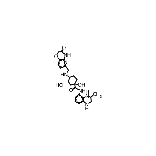 CC1CNc2cccc(NC(=O)C3(O)CCC(NCc4ccc5c(n4)NC(=O)CO5)CC3)c2N1.Cl